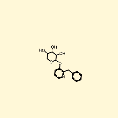 O[C@@H]1[C@@H](O)[C@@H](Oc2cccnc2Cc2ccccc2)SC[C@H]1O